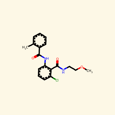 COCCNC(=O)c1c(Cl)cccc1NC(=O)c1ccccc1C